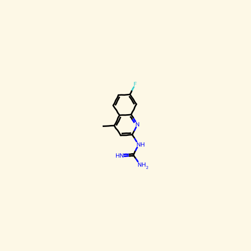 Cc1cc(NC(=N)N)nc2cc(F)ccc12